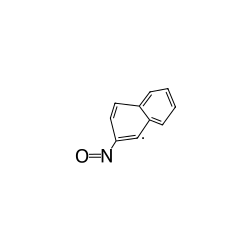 O=Nc1[c]c2ccccc2cc1